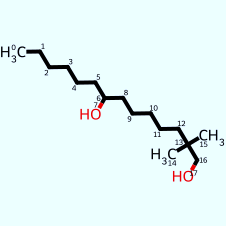 CCCCCCC(O)CCCCCC(C)(C)CO